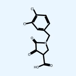 O=C(O)C1CN(Cc2ccc(Cl)c(Cl)c2)C(=O)C1=O